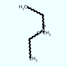 CCCCCCCCCCC/C=C\CCCCCOCCN(C)CCOCCCCC/C=C\CCCCCCCCCCC